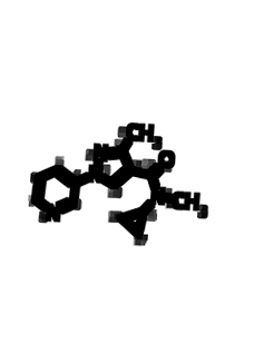 Cc1nn(-c2cccnc2)cc1C(=O)N(C)C1CC1